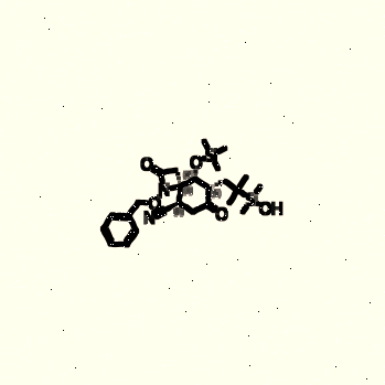 CC(C)(C[C@@H]1C(=O)C[C@@H](C#N)[C@]2(CC(=O)N2OCc2ccccc2)[C@@H]1O[Si](C)(C)C)[Si](C)(C)O